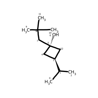 CC(C)[C@H]1C[C@@](O)(CC(C)(C)C)C1